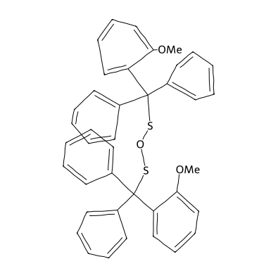 COc1ccccc1C(SOSC(c1ccccc1)(c1ccccc1)c1ccccc1OC)(c1ccccc1)c1ccccc1